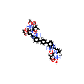 COC(=O)NC(C(=O)N1CC(C)(C)CC1c1nc2ccc(-c3ccc(-c4ccc5nc(C6CC7(CN6C(=O)C(NC(=O)OC)C(C)C)OCCO7)[nH]c5c4)cc3)cc2[nH]1)C(C)C